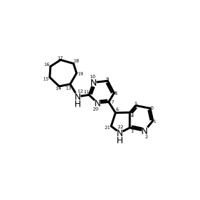 c1cnc2c(c1)C(c1ccnc(NC3CCCCCC3)n1)CN2